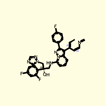 C=N/C=C\C(=C/C)c1c(-c2ccc(F)cc2)nn2c(NC[C@](O)(Cn3cncn3)c3ccc(F)cc3F)cccc12